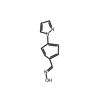 O/N=C/c1ccc(-n2cccn2)cc1